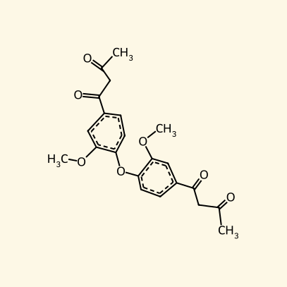 COc1cc(C(=O)CC(C)=O)ccc1Oc1ccc(C(=O)CC(C)=O)cc1OC